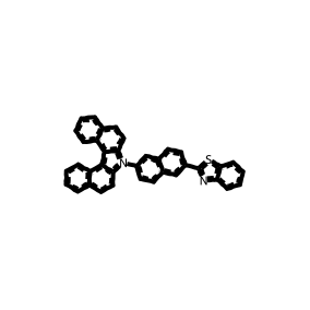 c1ccc2c(c1)ccc1c2c2c3ccccc3ccc2n1-c1ccc2cc(-c3nc4ccccc4s3)ccc2c1